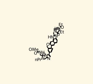 CCCN(Cc1ncc(-c2ccc3c(c2)COc2cc4c(ccc5nc(CN(CCC)C(=O)[C@H](CC)NC(=O)CC)[nH]c54)cc2-3)[nH]1)C(=O)CNC(=O)OC